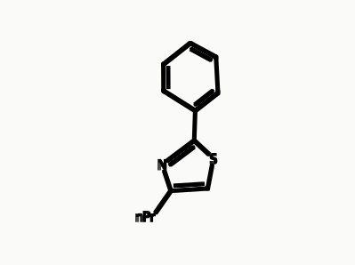 CCCc1csc(-c2ccccc2)n1